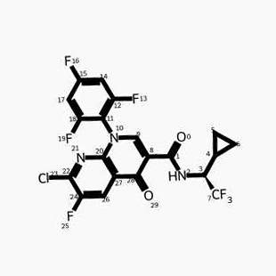 O=C(N[C@@H](C1CC1)C(F)(F)F)c1cn(-c2c(F)cc(F)cc2F)c2nc(Cl)c(F)cc2c1=O